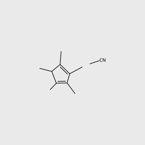 CC#N.CC1=C(C)C(C)C(C)=C1C